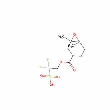 CC12CCC(C(=O)OCC(F)(F)S(=O)(=O)O)CC1(C)O2